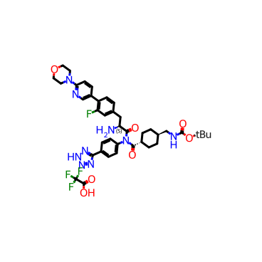 CC(C)(C)OC(=O)NC[C@H]1CC[C@H](C(=O)N(C(=O)[C@@H](N)Cc2ccc(-c3ccc(N4CCOCC4)nc3)c(F)c2)c2ccc(-c3nn[nH]n3)cc2)CC1.O=C(O)C(F)(F)F